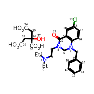 CCN(CC)CCN1CN(Cc2ccccc2)c2ccc(Cl)cc2C1=O.O=C(O)CC(O)(CC(=O)O)C(=O)O